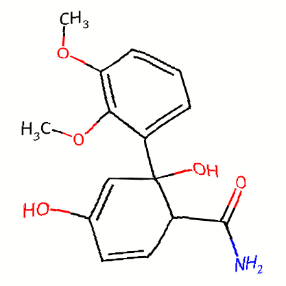 COc1cccc(C2(O)C=C(O)C=CC2C(N)=O)c1OC